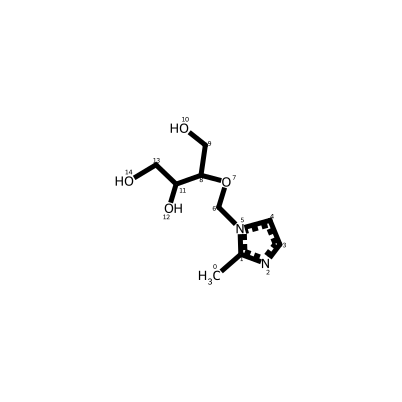 Cc1nccn1COC(CO)C(O)CO